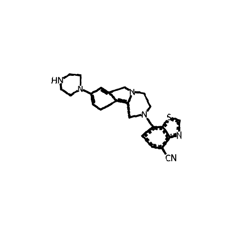 N#Cc1ccc(N2CCN3CC4=CC(N5CCNCC5)=CCC4=C3C2)c2scnc12